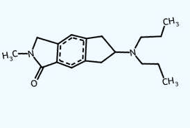 CCCN(CCC)C1Cc2cc3c(cc2C1)C(=O)N(C)C3